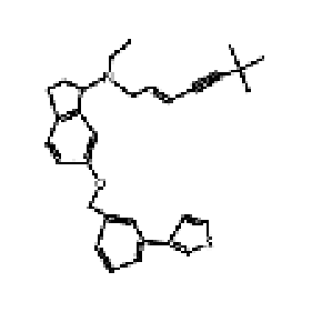 CCN(CC=CC#CC(C)(C)C)C1CCc2ccc(OCc3cccc(-c4ccsc4)c3)cc21